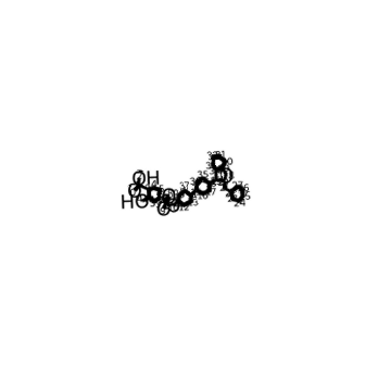 O=C(O)c1ccc(S(=O)(=O)Oc2ccc(-c3ccc(C4/C(=C/c5ccccc5)Oc5ccccc54)cc3)cc2)cc1O